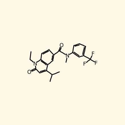 CCn1c(=O)cc(C(C)C)c2cc(C(=O)N(C)c3cccc(C(F)(F)F)c3)ccc21